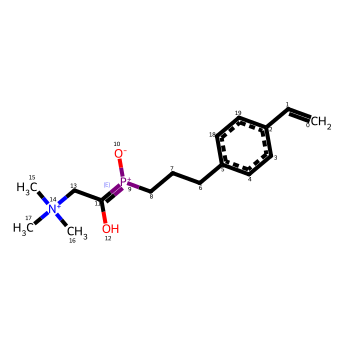 C=Cc1ccc(CCC/[P+]([O-])=C(\O)C[N+](C)(C)C)cc1